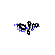 NC(=O)c1ccc(-n2c3ccccc3c3c(-c4cnc5ccccc5c4)cccc32)cc1N